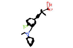 CCN(Cc1cc(C#CC(C)(C)C(=O)O)ccc1F)c1ccccc1